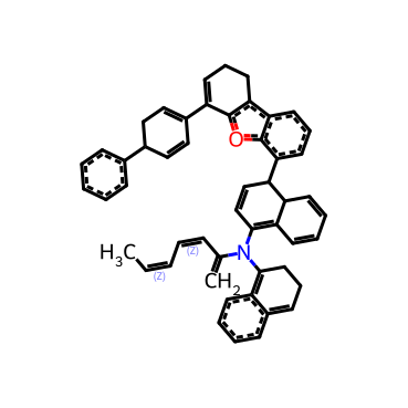 C=C(/C=C\C=C/C)N(C1=C2C=CC=CC2C(c2cccc3c4c(oc23)C(C2=CCC(c3ccccc3)C=C2)=CCC4)C=C1)C1=c2ccccc2=CCC1